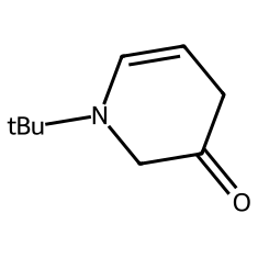 CC(C)(C)N1C=CCC(=O)C1